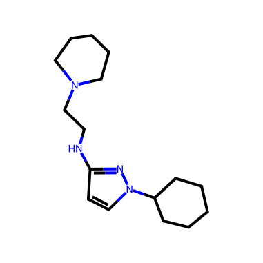 c1cn(C2CCCCC2)nc1NCCN1CCCCC1